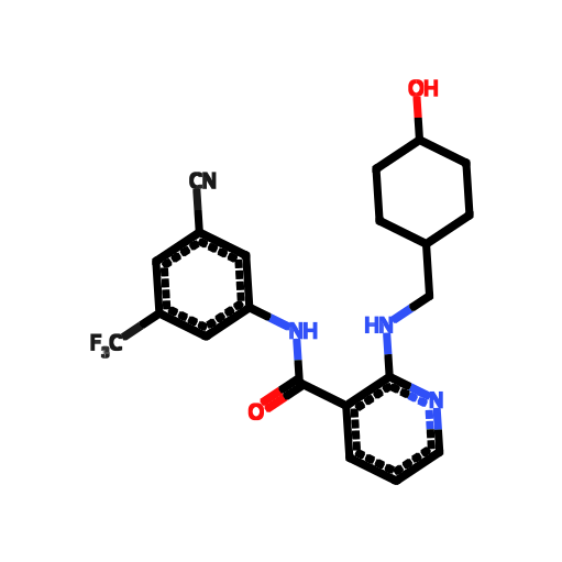 N#Cc1cc(NC(=O)c2cccnc2NCC2CCC(O)CC2)cc(C(F)(F)F)c1